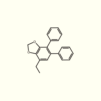 CCc1[c]c(-c2ccccc2)c(-c2ccccc2)c2c1OCO2